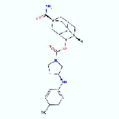 N#Cc1ccc(N[C@H]2CCN(C(=O)OC3C4CC5C[C@H]3C[C@@](C(N)=O)(C5)C4)C2)nc1